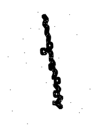 CCCCCCCOC(=O)CCCOCCOCCOCC(C)C